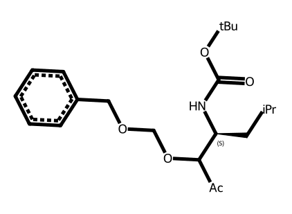 CC(=O)C(OCOCc1ccccc1)[C@H](CC(C)C)NC(=O)OC(C)(C)C